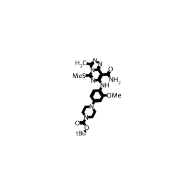 COc1cc(N2CCN(C(=O)OC(C)(C)C)CC2)ccc1Nc1nc(SC)n2c(C)nnc2c1C(N)=O